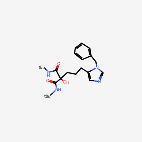 CC(C)(C)NC(=O)C(O)(CCCc1cncn1Cc1ccccc1)C(=O)NC(C)(C)C